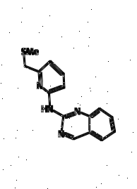 CSCc1cccc(Nc2ncc3ccccc3n2)n1